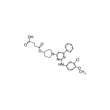 COc1ccc(Nc2nc(-c3ccccc3)cc(N3CCC(OC(=O)CCC(=O)O)CC3)n2)cc1Cl